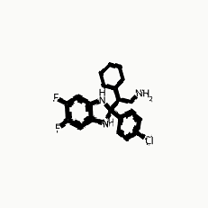 NCC(C1CCCCC1)C1(c2ccc(Cl)cc2)Nc2cc(F)c(F)cc2N1